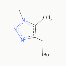 Cn1nnc(CC(C)(C)C)c1C(Cl)(Cl)Cl